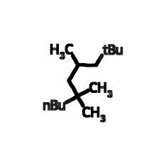 CCCCC(C)(C)CC(C)CC(C)(C)C